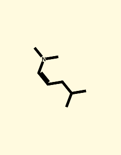 CC(C)C/C=C\N(C)C